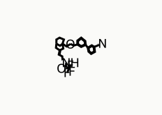 N#Cc1cccc(-c2cccc(COCC34CCCC(C/C(=C/CCNC(=O)C(F)(F)F)C3)C4)c2)c1